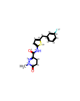 CN1N=C(C(=O)Nc2ccc(Cc3cccc(F)c3)s2)CCC1=O